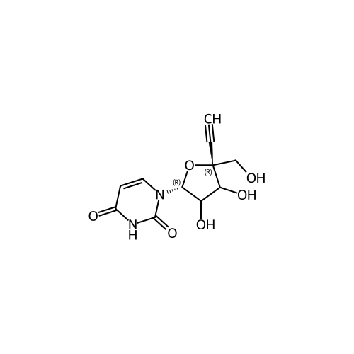 C#C[C@]1(CO)O[C@@H](n2ccc(=O)[nH]c2=O)C(O)C1O